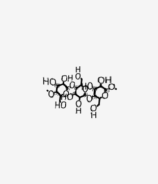 CO[C@@H]1OC(CO)[C@@H](O[C@@H]2OC(CO)[C@@H](O[C@@H]3OC(CO)[C@@H](OC)[C@H](O)C3O)[C@H](O)C2O)[C@H](O)C1O